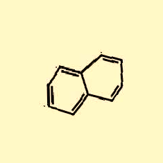 [c]1c[c]c2[c]cccc2c1